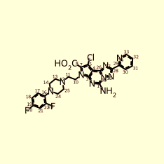 Nc1nc2c(c(Cl)c(C(=O)O)n2CCN2CCN(c3ccc(F)cc3F)CC2)c2nc(-c3ccccn3)nn12